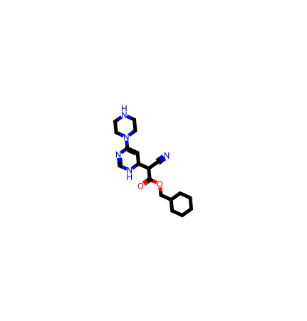 N#CC(C(=O)OCC1CCCCC1)C1C=C(N2CCNCC2)N=CN1